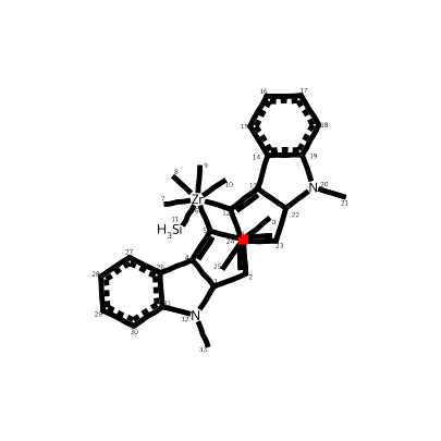 CC1=CC2C(=[C]1[Zr]([CH3])([CH3])([CH3])([CH3])([SiH3])[C]1=C3c4ccccc4N(C)C3C=C1C)c1ccccc1N2C